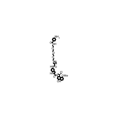 COc1cccc2c(O)cc3c(c12)[C@H](CCl)CN3C(=O)c1cc2cc(NC(=O)c3cn(CCOCCOCCOCCNC(=O)c4ccc(N)cc4)nn3)ccc2[nH]1